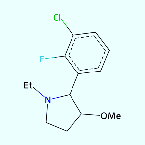 CCN1CCC(OC)C1c1cccc(Cl)c1F